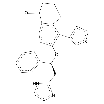 O=C1CCCc2c1ccc(O[C@@H](Cc1ncc[nH]1)c1ccccc1)c2-c1ccsc1